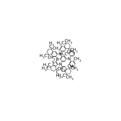 Cc1ccccc1N(c1cc2c3c(c1)N(c1ccc4c(c1)C(C)(C)CCC4(C)C)c1c(sc4c1C(C)(C)CCC4(C)C)B3c1cc3c(cc1N2c1ccc2c(c1)C(C)(C)CCC2(C)C)C(C)(C)CCC3(C)C)c1ccccc1C